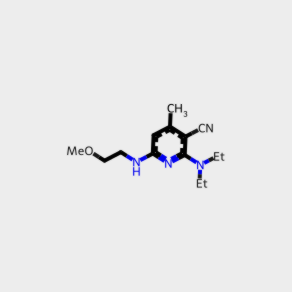 CCN(CC)c1nc(NCCOC)cc(C)c1C#N